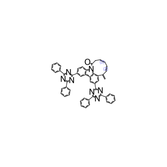 C=C1/C=C\C=C/CC(=O)n2c3ccc(-c4nc(-c5ccccc5)nc(-c5ccccc5)n4)cc3c3cc(-c4nc(-c5ccccc5)nc(-c5ccccc5)n4)cc1c32